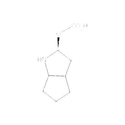 O=C(O)O[C@H]1CC2CCCC2N1